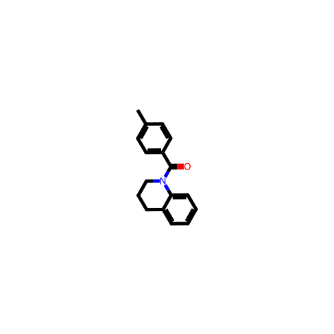 Cc1ccc(C(=O)N2CCCc3ccccc32)cc1